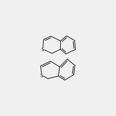 C1=Cc2ccccc2CS1.C1=Cc2ccccc2CS1